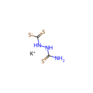 NC(=S)NNC(=S)[S-].[K+]